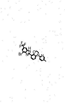 Cc1ccc(N2CCOc3c(-c4nc5c(Br)cc(C(F)(F)F)cc5[nH]4)cccc32)nc1